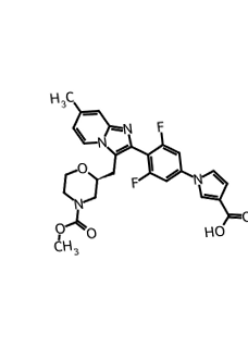 COC(=O)N1CCO[C@@H](Cc2c(-c3c(F)cc(-n4ccc(C(=O)O)c4)cc3F)nc3cc(C)ccn23)C1